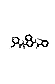 CCC1CNCCC1NS(=O)(=O)c1ccc(NC(=O)c2ccccc2C)c2ccccc12